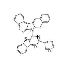 c1cncc(-c2nc(-n3c4cc5ccccc5cc4c4c5ccccc5ccc43)c3sc4ccccc4c3n2)c1